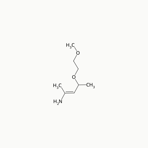 COCCOC(C)/C=C(\C)N